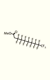 COC(=O)CC(F)(F)C(F)(F)C(F)(F)C(F)(F)C(F)(F)C(F)(F)C(F)(F)C(F)(F)F